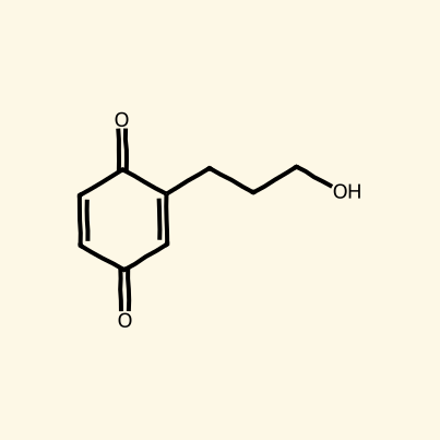 O=C1C=CC(=O)C(CCCO)=C1